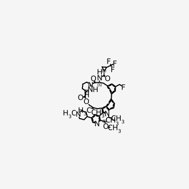 CCn1c(-c2cc(C3CCN(C)CC3)cnc2[C@H](C)OC)c2c3cc(ccc31)-c1cc(CF)cc(c1)C[C@H](NC(=O)[C@H]1CC1C(F)(F)F)C(=O)N1CCC[C@H](N1)C(=O)OCC(C)(C)C2